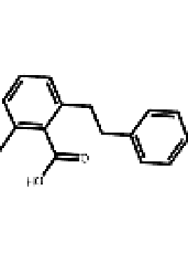 Cc1cccc(CCc2ccccc2)c1C(=O)O